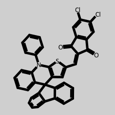 O=C1C(=Cc2cc3c(s2)N(c2ccccc2)c2ccccc2C32c3ccccc3-c3ccccc32)C(=O)c2cc(Cl)c(Cl)cc21